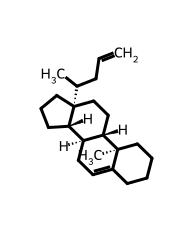 C=CCC(C)[C@@]12CCC[C@H]1[C@@H]1CC=C3CCCC[C@]3(C)[C@H]1CC2